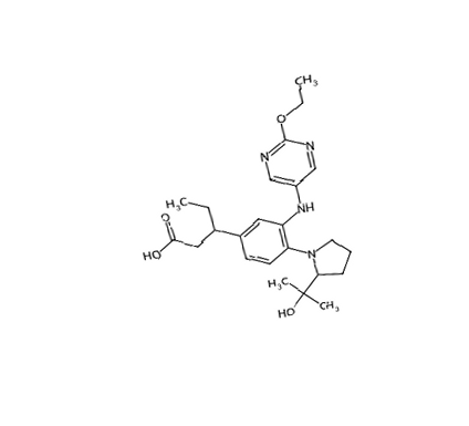 CCOc1ncc(Nc2cc(C(CC)CC(=O)O)ccc2N2CCCC2C(C)(C)O)cn1